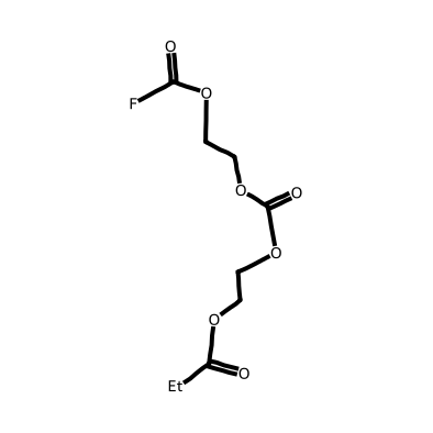 CCC(=O)OCCOC(=O)OCCOC(=O)F